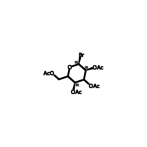 CC(=O)OCC1O[C@@H](Br)[C@@H](OC(C)=O)C(OC(C)=O)[C@H]1OC(C)=O